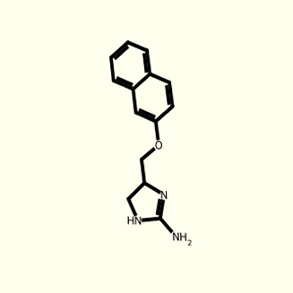 NC1=NC(COc2ccc3ccccc3c2)CN1